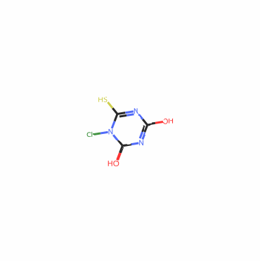 OC1=NC(O)N(Cl)C(S)=N1